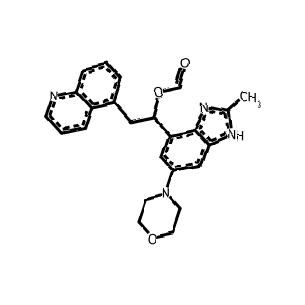 Cc1nc2c(C(Cc3cccc4ncccc34)OC=O)cc(N3CCOCC3)cc2[nH]1